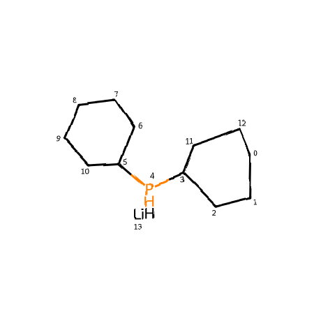 C1CCC(PC2CCCCC2)CC1.[LiH]